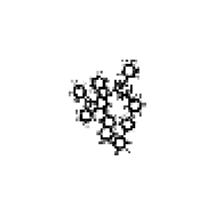 c1ccc(-c2ccc(-c3cccc(-c4nc(-c5ccccc5)nc(-n5c6ccccc6c6c5cc(-c5ccc7ccccc7c5)c5c7ccccc7n(-c7ccccc7)c56)n4)c3)cc2)cc1